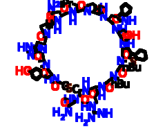 CCCC[C@H]1C(=O)N(C)[C@@H](CCCC)C(=O)N[C@@H](CCCNC(=N)N)C(=O)NC(C(=O)NCC(N)=O)CSCC(=O)N[C@@H](Cc2ccc(O)cc2)C(=O)N(C)[C@@H](C)C(=O)N[C@@H](Cc2cnc[nH]2)C(=O)N2CCC[C@H]2C(=O)N[C@@H](CC(N)=O)C(=O)N[C@@H](CC(C)C)C(=O)N2CCC[C@H]2C(=O)N[C@@H](Cc2c[nH]c3ccccc23)C(=O)N[C@@H](CO)C(=O)N[C@@H](Cc2csc3ccccc23)C(=O)N1C